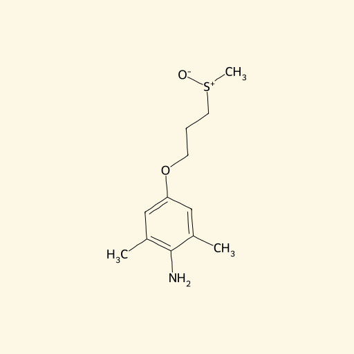 Cc1cc(OCCC[S+](C)[O-])cc(C)c1N